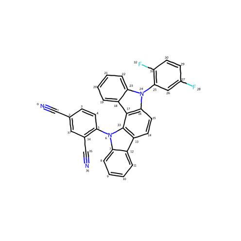 N#Cc1ccc(-n2c3ccccc3c3ccc4c(c5ccccc5n4-c4cc(F)ccc4F)c32)c(C#N)c1